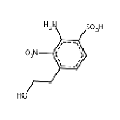 Nc1c(S(=O)(=O)O)ccc(CCO)c1[N+](=O)[O-]